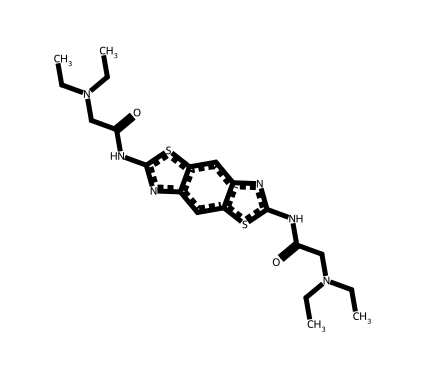 CCN(CC)CC(=O)Nc1nc2cc3sc(NC(=O)CN(CC)CC)nc3cc2s1